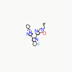 CC1(Cn2cc(-c3cc4c(nc3-c3cnc5c(c3)C(=O)N(CC3CC3)C5)[C@H](F)CC4)cn2)CCCC1